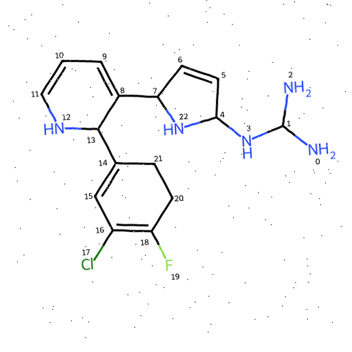 NC(N)NC1C=CC(C2=CC=CNC2C2=CC(Cl)=C(F)CC2)N1